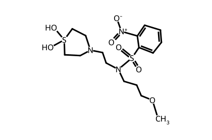 COCCCN(CCN1CCS(O)(O)CC1)S(=O)(=O)c1ccccc1[N+](=O)[O-]